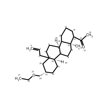 C=CCC12CC[C@@H]3C(CC[C@]4(C)C(C(C)=O)CCCC34)[C@H]1CC[C@H](COCC)C2